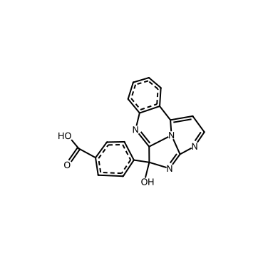 O=C(O)c1ccc(C2(O)N=C3N=CC=C4c5ccccc5N=C2N43)cc1